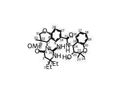 CCC1(CC)CC(=O)N([C@@H]2c3cc(C(=O)N[C@@H]4c5ccccc5OC(C)(C)[C@H]4O)ccc3OC[C@@]2(C)OC)C(=N)N1